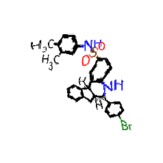 Cc1ccc(NS(=O)(=O)c2ccc3c(c2)[C@H]2c4ccccc4C[C@H]2[C@H](c2ccc(Br)cc2)N3)cc1C